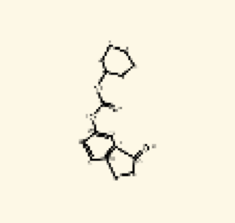 O=C(NC1CCCCC1)Oc1ccc2c(c1)C(=O)CC2